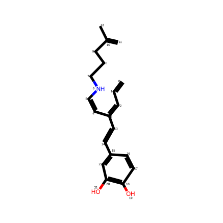 C=C/C=C(\C=C/NCCCC(=C)C)/C=C/c1ccc(O)c(O)c1